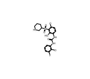 O=C(Nc1ccc(Cl)c(S(=O)(=O)C2CCCNC2)c1O)Nc1cccc(F)c1Cl